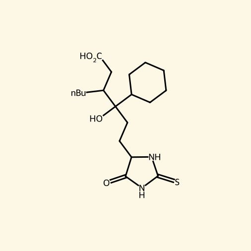 CCCCC(CC(=O)O)C(O)(CCC1NC(=S)NC1=O)C1CCCCC1